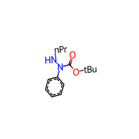 CCCNN(C(=O)OC(C)(C)C)c1ccccc1